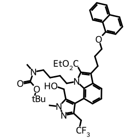 CCOC(=O)c1c(CCCOc2cccc3ccccc23)c2cccc(-c3c(CC(F)(F)F)nn(C)c3CO)c2n1CCCCN(C)C(=O)OC(C)(C)C